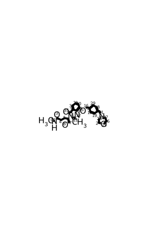 CNC(=O)CCC(C=O)n1c(C)nc2c(OCc3ccc(CN4CCOCC4)cc3)cccc2c1=O